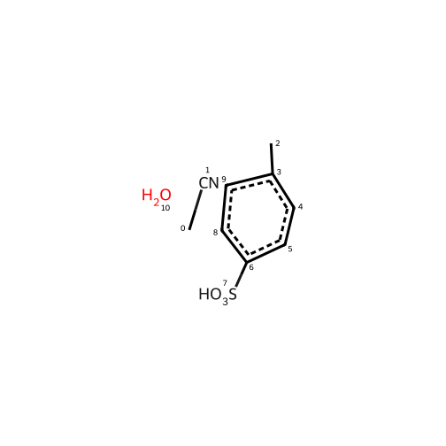 CC#N.Cc1ccc(S(=O)(=O)O)cc1.O